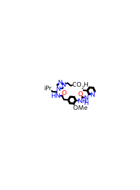 COc1cc(CC(=O)NC(CC(C)C)N2C=NN(CCC(=O)O)C2)ccc1NC(=O)Nc1ncccc1C